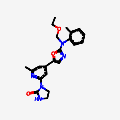 CCOCN(c1ncc(-c2cc(C)nc(N3CCNC3=O)c2)o1)c1ccccc1C